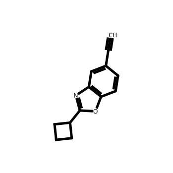 C#Cc1ccc2oc(C3CCC3)nc2c1